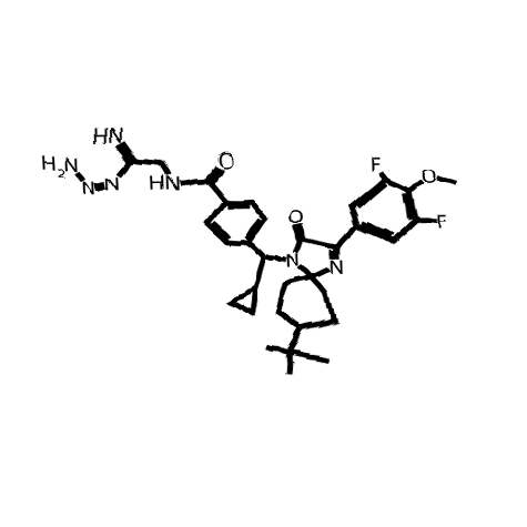 COc1c(F)cc(C2=NC3(CCC(C(C)(C)C)CC3)N(C(c3ccc(C(=O)NCC(=N)/N=N\N)cc3)C3CC3)C2=O)cc1F